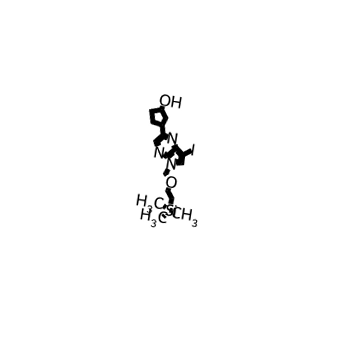 C[Si](C)(C)CCOCn1cc(I)c2nc(C3CCC(O)C3)cnc21